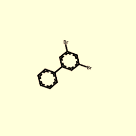 Brc1[c]c(-c2ccccc2)cc(Br)c1